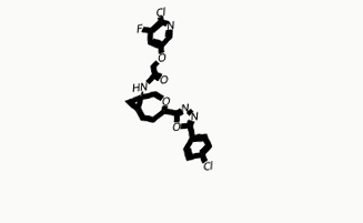 O=C(COc1cnc(Cl)c(F)c1)N[C@]12COC(c3nnc(-c4ccc(Cl)cc4)o3)CCC1C2